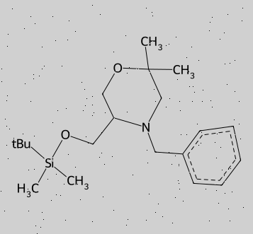 CC1(C)CN(Cc2ccccc2)C(CO[Si](C)(C)C(C)(C)C)CO1